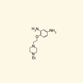 CCN1CCN(CCOc2ccc(N)cc2N)CC1